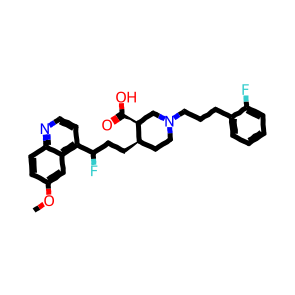 COc1ccc2nccc(C(F)CC[C@@H]3CCN(CCCc4ccccc4F)C[C@@H]3C(=O)O)c2c1